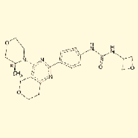 C[C@H]1COCCN1c1nc(-c2ccc(NC(=O)NC3COC3)cc2)nc2c1COCC2